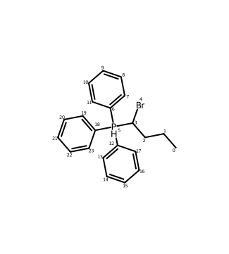 CCCC(Br)[PH](c1ccccc1)(c1ccccc1)c1ccccc1